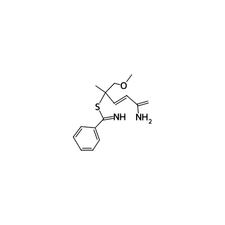 C=C(N)C=CC(C)(COC)SC(=N)c1ccccc1